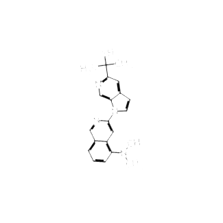 CN(C)c1cccc2cnc(-n3ccc4cc(C(C)(C)S)ncc43)cc12